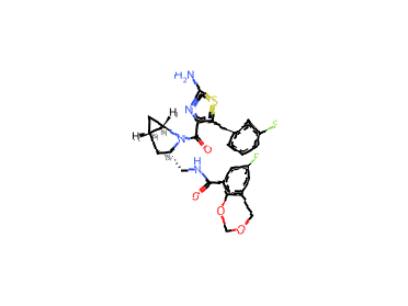 Nc1nc(C(=O)N2[C@H](CNC(=O)c3cc(F)cc4c3OCOC4)C[C@@H]3C[C@@H]32)c(-c2cccc(F)c2)s1